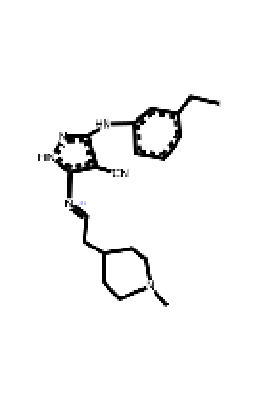 CN1CCC(C/C=N/c2[nH]nc(Nc3cccc(CI)c3)c2C#N)CC1